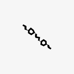 CC=C[C@H]1CC[C@H](C=CCC[C@H]2CC[C@H](C=CC)CC2)CC1